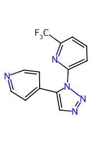 FC(F)(F)c1cccc(-n2nncc2-c2ccncc2)n1